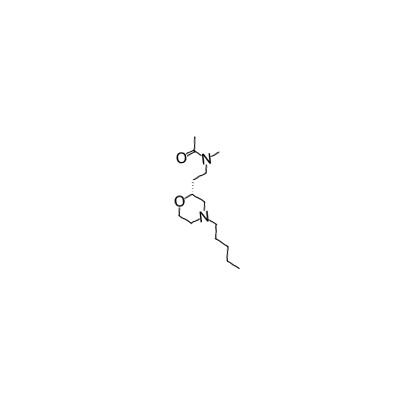 CCCCCN1CCO[C@H](CCN(C)C(C)=O)C1